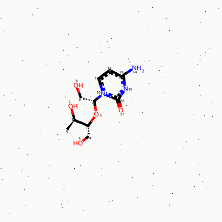 C[C@@H](O)[C@@H](CO)O[C@H](CO)n1ccc(N)nc1=O